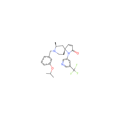 CC(C)Oc1cccc(CN2CC[C@]3(C=CC(=O)N3c3cncc(C(F)(F)F)c3)C[C@@H]2C)c1